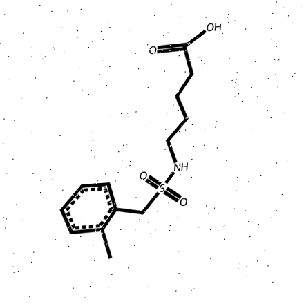 Cc1ccccc1CS(=O)(=O)NCCCCC(=O)O